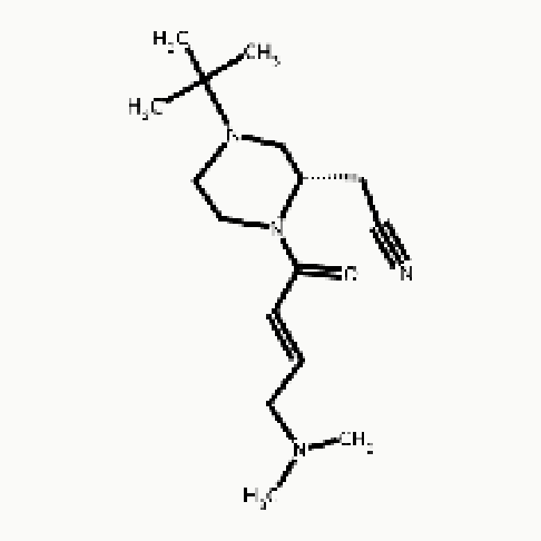 CN(C)C/C=C/C(=O)N1CCN(C(C)(C)C)C[C@@H]1CC#N